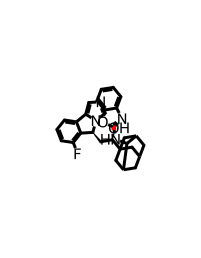 O[C@H](C[C@H]1c2c(F)cccc2-c2cncn21)C12CC3CC(C1)C(Nc1nc4ccccc4o1)C(C3)C2